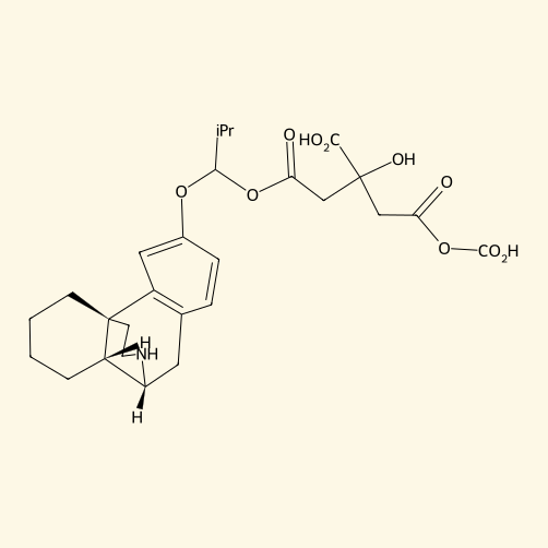 CC(C)C(OC(=O)CC(O)(CC(=O)OC(=O)O)C(=O)O)Oc1ccc2c(c1)[C@@]13CCCC[C@H]1[C@@H](C2)NCC3